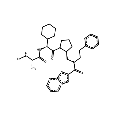 CCN[C@@H](C)C(=O)N[C@H](C(=O)N1CCC[C@H]1CN(CCc1ccccc1)C(=O)c1cn2cccnc2n1)C1CCCCC1